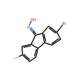 CCc1ccc2c(c1)C(=NO)c1cc(F)ccc1-2